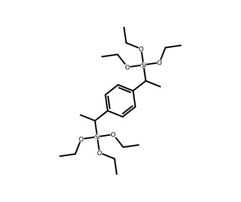 CCO[Si](OCC)(OCC)C(C)c1ccc(C(C)[Si](OCC)(OCC)OCC)cc1